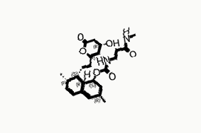 CNC(=O)CCNC(=O)O[C@H]1C[C@@H](C)C=C2C=C[C@H](C)[C@H](CC[C@@H]3C[C@@H](O)CC(=O)O3)[C@H]21